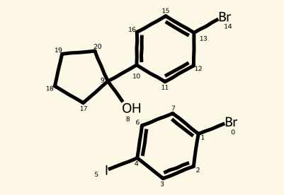 Brc1ccc(I)cc1.OC1(c2ccc(Br)cc2)CCCC1